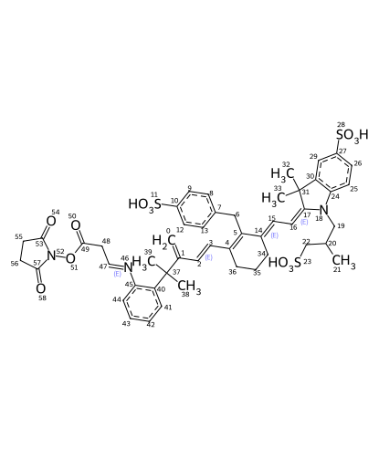 C=C(/C=C/C1=C(Cc2ccc(S(=O)(=O)O)cc2)C(=C/C=C2/N(CC(C)CS(=O)(=O)O)c3ccc(S(=O)(=O)O)cc3C2(C)C)/CCC1)C(C)(C)c1ccccc1/N=C/CC(=O)ON1C(=O)CCC1=O